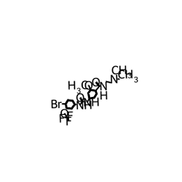 CCN(CC)CCNC(=O)c1ccc(NC(=O)Nc2ccc(Br)c(OC(F)(F)F)c2)cc1OC